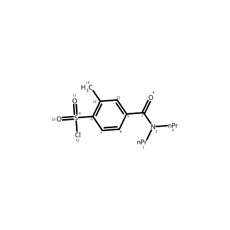 CCCN(CCC)C(=O)c1ccc(S(=O)(=O)Cl)c(C)c1